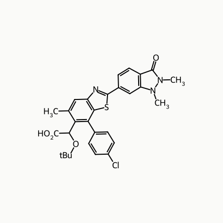 Cc1cc2nc(-c3ccc4c(=O)n(C)n(C)c4c3)sc2c(-c2ccc(Cl)cc2)c1C(OC(C)(C)C)C(=O)O